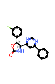 O=C1N[C@H](c2cc(-c3ccccc3)ncn2)[C@@H](c2cccc(F)c2)O1